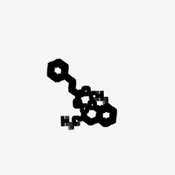 COc1ccccc1C[C@@H](C)OOC(=O)/C=C/c1ccccc1